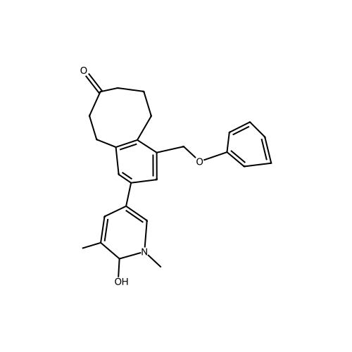 CC1=CC(c2cc3c(c(COc4ccccc4)c2)CCCC(=O)CC3)=CN(C)C1O